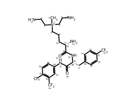 C[N+](CCN)(CCN)CCC[C@H](N)C(=O)N[C@H](Cc1ccc(C(F)(F)F)cc1)C(=O)Nc1ccc(Cl)c(C(F)(F)F)c1